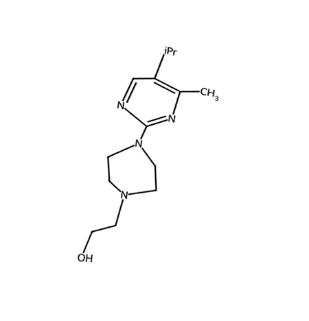 Cc1nc(N2CCN(CCO)CC2)ncc1C(C)C